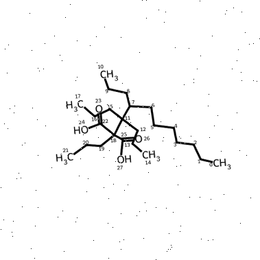 CCCCCCCC(CCC)C(CCC)(CCC)C(CCC)(C(=O)O)C(=O)O